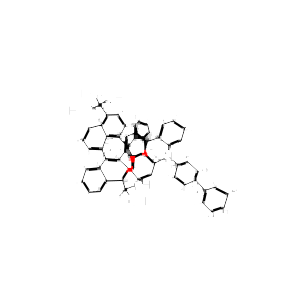 CC(C)(C)c1cc2c(c3ccccc13)-c1cccc3c(C(C)(C)C)ccc(c13)C21c2ccccc2-c2c(N(c3ccc(-c4ccccc4)cc3)c3ccccc3-c3ccccc3)cccc21